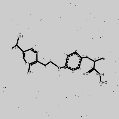 C\C=C(/C=C\C(=C\CCC)CCOc1ccc(CC(C)C(=O)NC=O)cc1)C(C)O